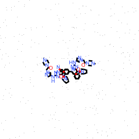 CN1CCN(C(=O)Cn2cc(Nc3nc4c(N5CC6CCC(C5)N6C(=O)c5cc(-c6ccc(N7CC8CCC(C7)N8C(=O)c7ccccc7)c7nc(Nc8cnn(CC(=O)N9CCN(C)CC9)c8)nn67)ccc5CC#N)cccn4n3)cn2)CC1